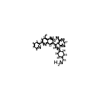 Cc1cc(-c2ccccn2)nc2cc(-c3cn(C4CCC(CN)CC4)c4ncnc(N)c34)ccc12